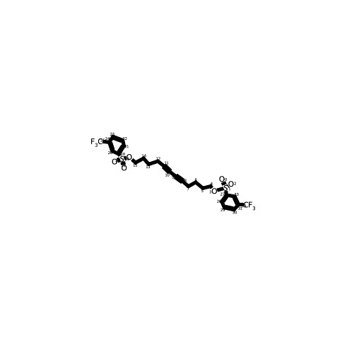 O=S(=O)(OCCCCC#CC#CCCCCOS(=O)(=O)c1cccc(C(F)(F)F)c1)c1cccc(C(F)(F)F)c1